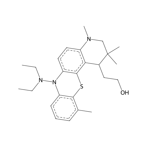 CCN(CC)N1c2cccc(C)c2Sc2c1ccc1c2C(CCO)C(C)(C)CN1C